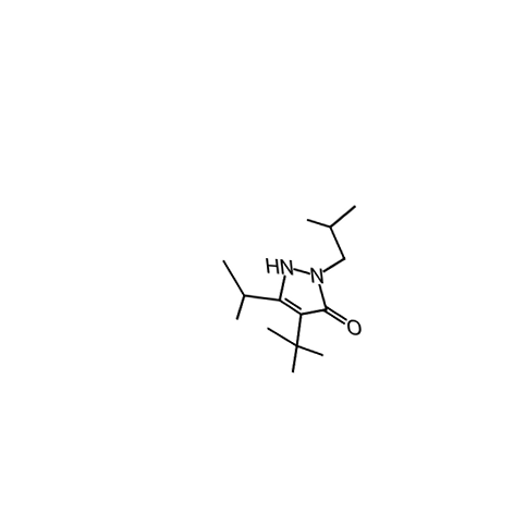 CC(C)Cn1[nH]c(C(C)C)c(C(C)(C)C)c1=O